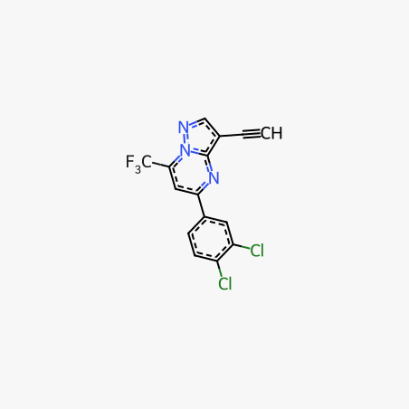 C#Cc1cnn2c(C(F)(F)F)cc(-c3ccc(Cl)c(Cl)c3)nc12